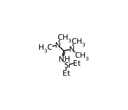 CC[SiH](CC)N=C(N(C)C)N(C)C